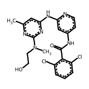 Cc1cc(Nc2cc(NC(=O)c3c(Cl)cccc3Cl)ccn2)nc(N(C)CCO)n1